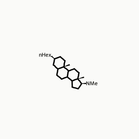 CCCCCC[C@H]1CC[C@@]2(C)C(CCC3C2CC[C@@]2(C)C3CC[C@@H]2NC)C1